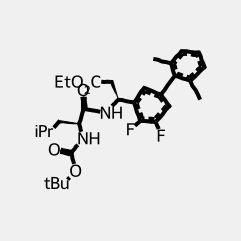 CCOC(=O)C[C@H](NC(=O)[C@H](CC(C)C)NC(=O)OC(C)(C)C)c1cc(-c2c(C)cccc2C)cc(F)c1F